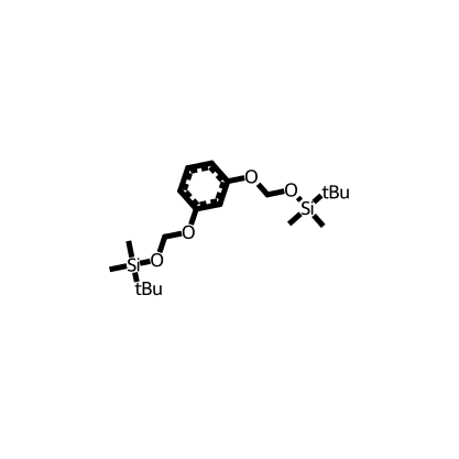 CC(C)(C)[Si](C)(C)OCOc1cccc(OCO[Si](C)(C)C(C)(C)C)c1